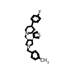 Cc1ccc(CN2C[C@@H](CN3CCC(c4ccc(F)cc4)CC3)[C@H](c3ccsc3)C2)cc1